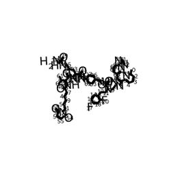 Cc1cccc(-c2nc(CN(CCc3ccc(F)cc3F)C(=O)OCc3ccc(NC(=O)C(CCCNC(N)=O)NC(=O)C(NC(=O)CCCCCN4C(=O)C=CC4=O)C(C)C)cc3)[nH]c2-c2ccc3ncnn3c2)n1